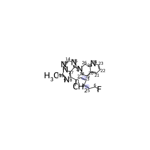 C=C(/C=C\C=C/CF)c1nc(C)n2ncnc(N3CCc4cccnc4C3)c12